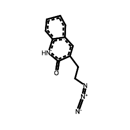 [N-]=[N+]=NCCc1cc2ccccc2[nH]c1=O